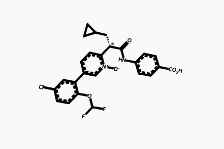 O=C(O)c1ccc(NC(=O)[C@@H](CC2CC2)c2ccc(-c3cc(Cl)ccc3OC(F)F)c[n+]2[O-])cc1